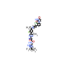 Cc1nc(-c2cc(C(=O)NCc3nc(C(C)(C)C(F)(F)F)n[nH]3)on2)ncc1-c1ccc(C(C)N2CC3(CC(c4cccc(N5CCC(=O)NC5=O)c4Cl)C3)C2)cc1F